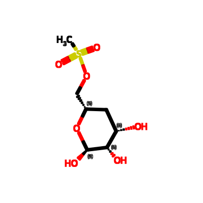 CS(=O)(=O)OC[C@@H]1C[C@H](O)[C@H](O)[C@@H](O)O1